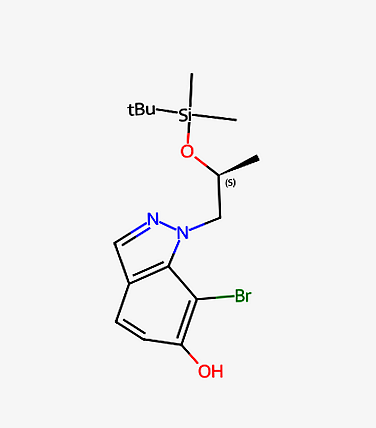 C[C@@H](Cn1ncc2ccc(O)c(Br)c21)O[Si](C)(C)C(C)(C)C